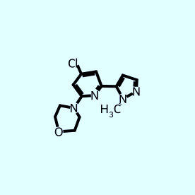 Cn1nccc1-c1cc(Cl)cc(N2CCOCC2)n1